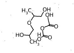 CC(O)COC(C)CO.O=C(O)OC(=O)O